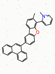 Cc1ccc2c(oc3ccc(-c4cc5ccccc5c5ccccc45)cc32)c1-c1cccc[n+]1C